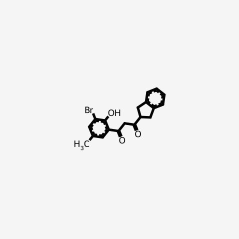 Cc1cc(Br)c(O)c(C(=O)CC(=O)C2Cc3ccccc3C2)c1